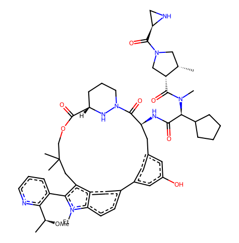 CCn1c(-c2cccnc2[C@H](C)OC)c2c3cc(ccc31)-c1cc(O)cc(c1)C[C@H](NC(=O)[C@H](C1CCCC1)N(C)C(=O)[C@@H]1CN(C(=O)[C@H]3CN3)C[C@@H]1C)C(=O)N1CCC[C@H](N1)C(=O)OCC(C)(C)C2